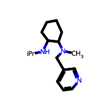 CC(C)NC1CCCCC1N(C)Cc1cccnc1